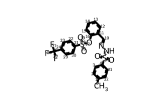 Cc1ccc(S(=O)(=O)NN=Cc2ccccc2OS(=O)(=O)c2ccc(C(F)(F)F)cc2)cc1